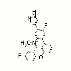 C[n+]1c2c3c(cccc3c3cc(F)c(-c4cn[nH]c4)cc31)Oc1ccc(F)cc1-2